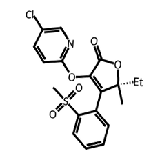 CC[C@@]1(C)OC(=O)C(Oc2ccc(Cl)cn2)=C1c1ccccc1S(C)(=O)=O